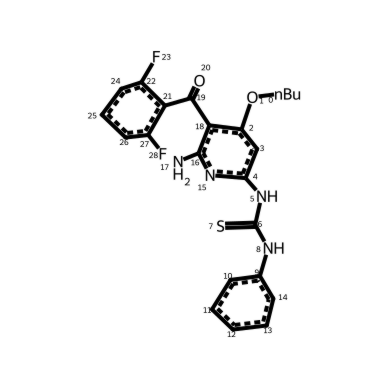 CCCCOc1cc(NC(=S)Nc2ccccc2)nc(N)c1C(=O)c1c(F)cccc1F